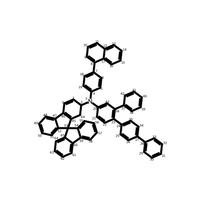 C1=CC(N(c2ccc(-c3cccc4ccccc34)cc2)c2ccc(-c3ccc(-c4ccccc4)cc3)c(-c3ccccc3)c2)CC2=C1c1ccccc1C21c2ccccc2-c2ccccc21